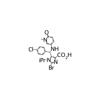 CC(C)n1c(Br)nc(C(=O)O)c1C(Nc1ccc(=O)n(C)c1)c1ccc(Cl)cc1